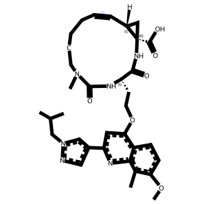 COc1ccc2c(OCC[C@@H]3NC(=O)N(C)CCCC/C=C\[C@@H]4C[C@@]4(C(=O)O)NC3=O)cc(-c3cnn(CC(C)C)c3)nc2c1C